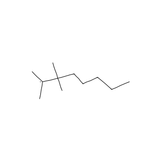 CCCCCC(C)(C)[C](C)C